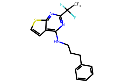 FC(F)(F)C(F)(F)c1nc(NCCCc2ccccc2)c2ccsc2n1